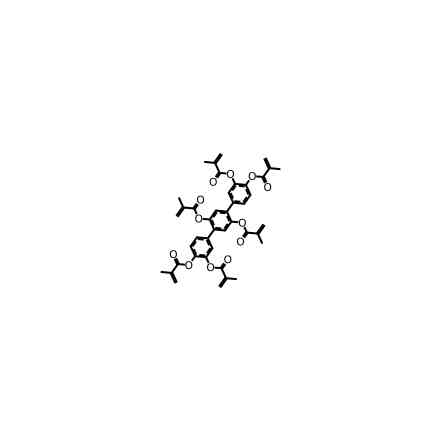 C=C(C)C(=O)Oc1ccc(-c2cc(OC(=O)C(=C)C)c(-c3ccc(OC(=O)C(=C)C)c(OC(=O)C(=C)C)c3)cc2OC(=O)C(=C)C)cc1OC(=O)C(=C)C